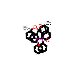 CC[C@@H]1O[C@]2(O[C@@H](CC)c3cccc(P(=O)(c4ccccc4)c4ccccc4)c32)c2c1cccc2P(c1ccccc1)c1ccccc1